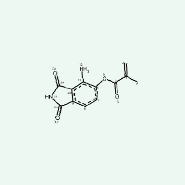 C=C(C)C(=O)Oc1ccc2c(c1N)C(=O)NC2=O